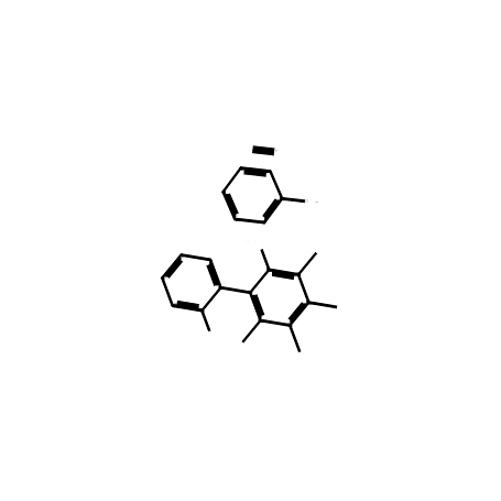 C=O.Cc1c(C)c(C)c(-c2ccccc2O)c(O)c1C.Oc1ccccc1